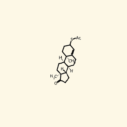 CC(=O)SC1C=C2CC[C@@H]3[C@@H](CC[C@]4(C)C(=O)CC[C@@H]34)[C@@]2(C)CC1